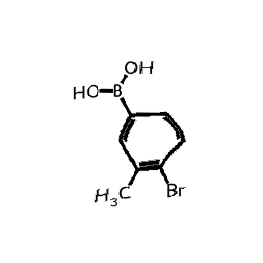 Cc1cc(B(O)O)ccc1Br